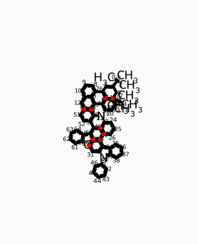 CC(C)(C)C1=CC(c2cccc3cccc(-c4ccccc4N(c4cccc(-c5cccc6c5c5ccccc5n6-c5ccccc5)c4)c4ccccc4-c4cccc5oc6ccccc6c45)c23)=CC(C)(C(C)(C)C)C1